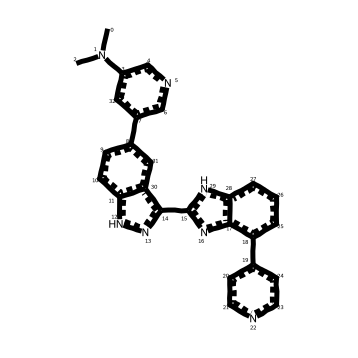 CN(C)c1cncc(-c2ccc3[nH]nc(-c4nc5c(-c6ccncc6)cccc5[nH]4)c3c2)c1